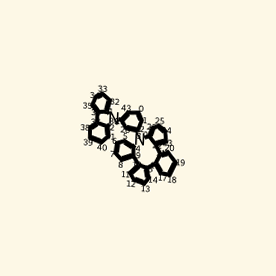 c1cc(-n2c3ccccc3c3ccccc3c3ccccc3c3ccccc32)cc(-n2c3ccccc3c3ccccc32)c1